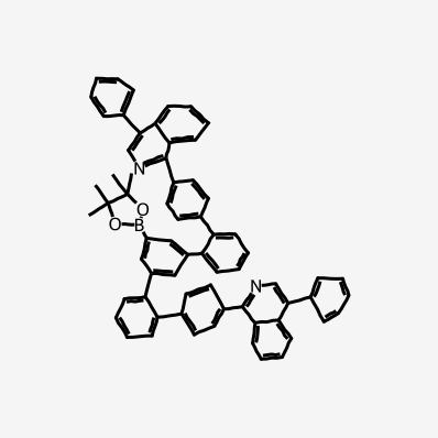 CC1(C)OB(c2cc(-c3ccccc3-c3ccc(-c4ncc(-c5ccccc5)c5ccccc45)cc3)cc(-c3ccccc3-c3ccc(-c4ncc(-c5ccccc5)c5ccccc45)cc3)c2)OC1(C)C